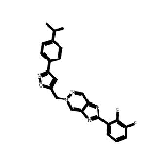 CC(C)c1ccc(-c2cc(Cn3cc4nc(-c5cccc(F)c5F)nc-4cn3)on2)cc1